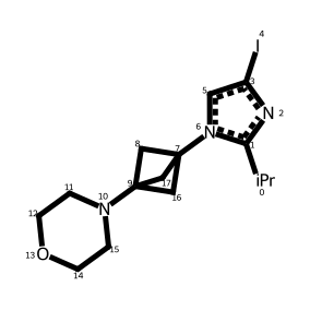 CC(C)c1nc(I)cn1C12CC(N3CCOCC3)(C1)C2